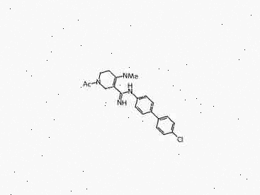 CNC1=C(C(=N)Nc2ccc(-c3ccc(Cl)cc3)cc2)CN(C(C)=O)CC1